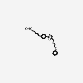 O=CCCCC=Cc1ccc(-c2nnc(CSCCOc3ccccc3)o2)cc1